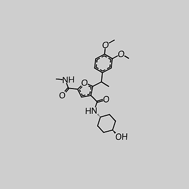 CNC(=O)c1cc(C(=O)N[C@H]2CC[C@H](O)CC2)c(C(C)c2ccc(OC)c(OC)c2)o1